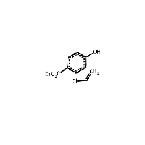 C=CCl.CCOC(=O)c1ccc(O)cc1